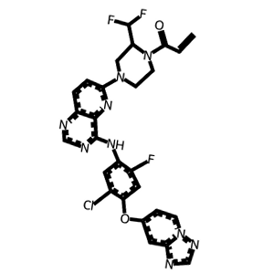 C=CC(=O)N1CCN(c2ccc3ncnc(Nc4cc(Cl)c(Oc5ccn6ncnc6c5)cc4F)c3n2)CC1C(F)F